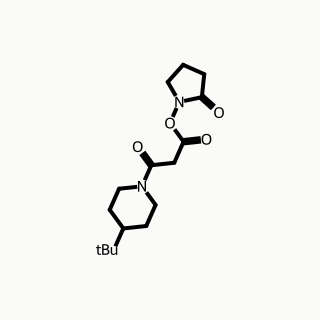 CC(C)(C)C1CCN(C(=O)CC(=O)ON2CCCC2=O)CC1